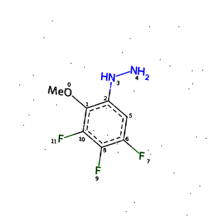 COc1c(NN)cc(F)c(F)c1F